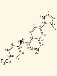 Cn1ccnc1-c1ccc2c(Nc3ccc(C(F)(F)F)cc3)nncc2c1